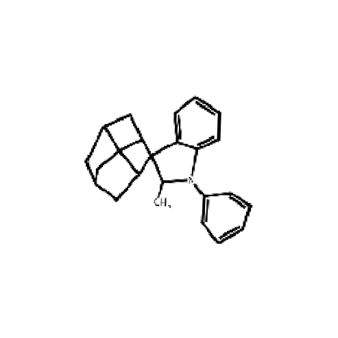 CC1N(c2ccccc2)c2ccccc2C12C1CC3CC4CC2C41C3